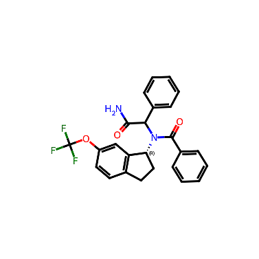 NC(=O)C(c1ccccc1)N(C(=O)c1ccccc1)[C@@H]1CCc2ccc(OC(F)(F)F)cc21